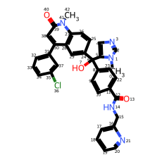 Cn1cncc1C(O)(c1ccc(C(=O)NCc2ccccn2)cc1)c1ccc2c(c1)c(-c1cccc(Cl)c1)cc(=O)n2C